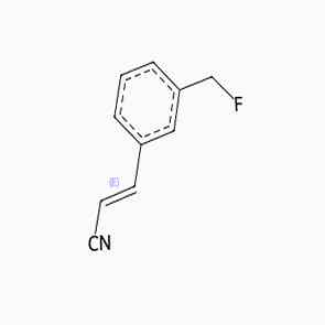 N#C/C=C/c1cccc(CF)c1